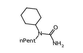 CCCCCN(C(N)=O)C1CCCCC1